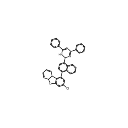 Clc1cc2c(c(-c3ccc(C4N=C(c5ccccc5)N=C(c5ccccc5)N4)c4ccccc34)c1)C1C=CC=CC1O2